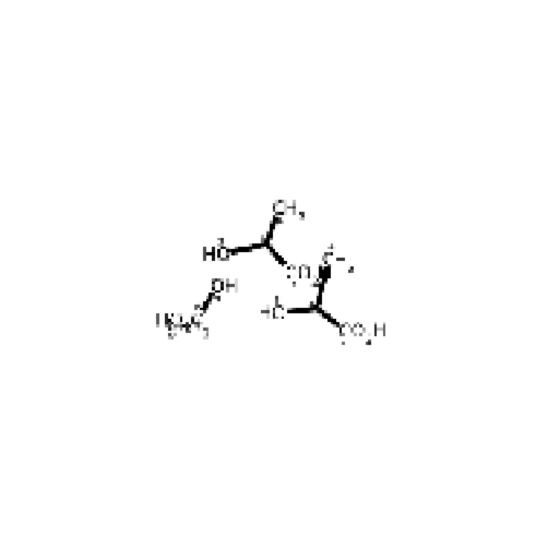 CC(O)C(=O)O.CC(O)C(=O)O.O=C(O)O.[CaH2]